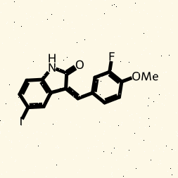 COc1ccc(C=C2C(=O)Nc3ccc(I)cc32)cc1F